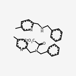 CCOC(=O)C(=O)N(Cc1ccccc1)Cc1ccc(C)cn1.Cc1ccc(CNCc2ccccc2)nc1